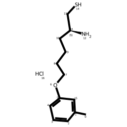 Cc1cccc(OCCCC[C@H](N)CS)c1.Cl